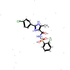 Cc1[nH]c(-c2ccc(Cl)cc2)nc1C(=O)NS(=O)(=O)c1ccccc1Cl